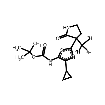 [2H]C([2H])([2H])C1(c2nc(C3CC3)c(NC(=O)OC(C)(C)C)s2)CCNC1=O